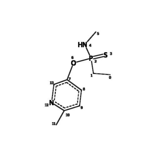 CCP(=S)(NC)Oc1ccc(C)nc1